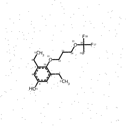 CCc1cc(O)cc(CC)c1OCCCOC(F)(F)F